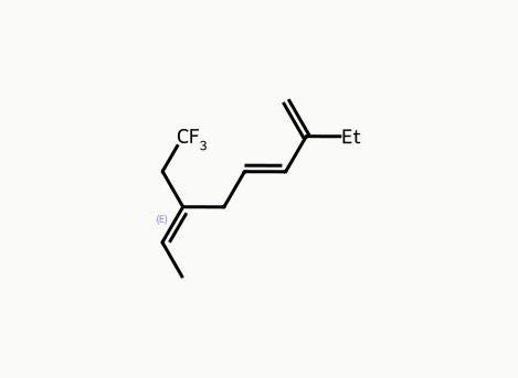 C=C(C=CC/C(=C\C)CC(F)(F)F)CC